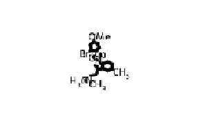 COc1ccc(S(=O)(=O)n2cc(CCN(C)C)c3cc(C)ccc32)c(Br)c1